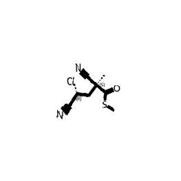 CSC(=O)[C@](C)(C#N)C[C@@H](Cl)C#N